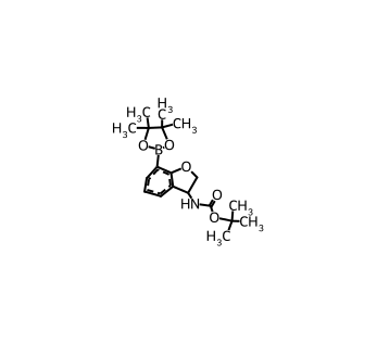 CC(C)(C)OC(=O)NC1COc2c(B3OC(C)(C)C(C)(C)O3)cccc21